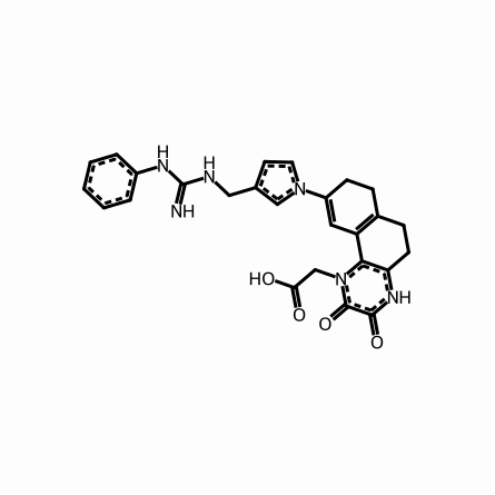 N=C(NCc1ccn(C2=CC3=C(CC2)CCc2[nH]c(=O)c(=O)n(CC(=O)O)c23)c1)Nc1ccccc1